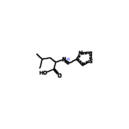 CC(C)CC(/N=C/c1cscn1)C(=O)O